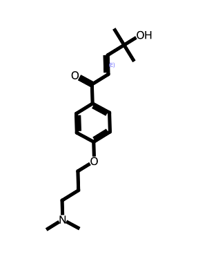 CN(C)CCCOc1ccc(C(=O)/C=C/C(C)(C)O)cc1